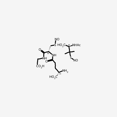 CC(=O)N[C@H](C(=O)O)C(C)(C)SN=O.N[C@@H](CCC(=O)N[C@@H](CSN=O)C(=O)NCC(=O)O)C(=O)O